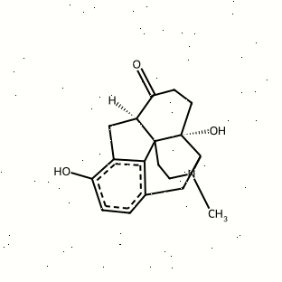 CN1CCC23c4c5ccc(O)c4C[C@H]2C(=O)CC[C@@]3(O)C1C5